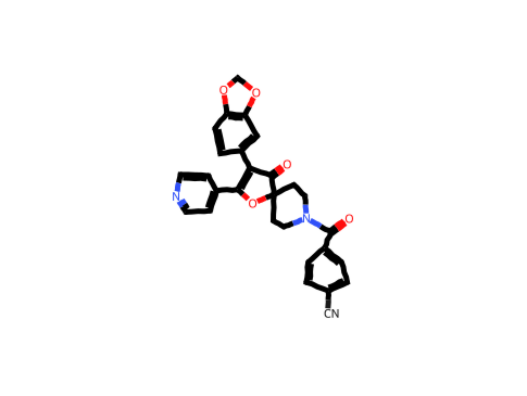 N#Cc1ccc(C(=O)N2CCC3(CC2)OC(c2ccncc2)=C(c2ccc4c(c2)OCO4)C3=O)cc1